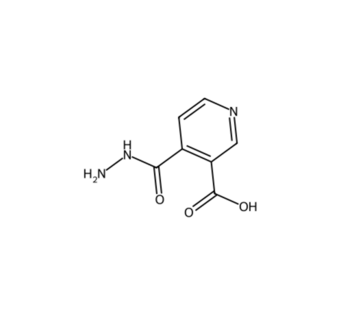 NNC(=O)c1ccncc1C(=O)O